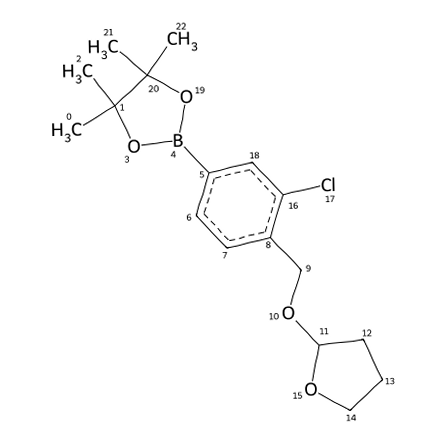 CC1(C)OB(c2ccc(COC3CCCO3)c(Cl)c2)OC1(C)C